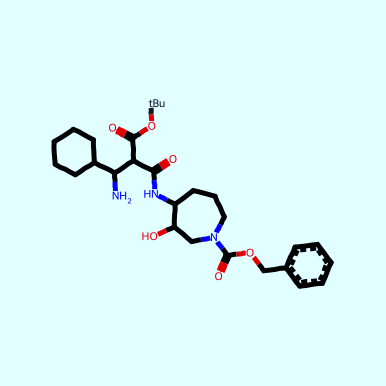 CC(C)(C)OC(=O)C(C(=O)NC1CCCN(C(=O)OCc2ccccc2)CC1O)C(N)C1CCCCC1